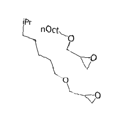 CC(C)CCCCCOCC1CO1.CCCCCCCCOCC1CO1